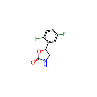 O=C1NCC(c2cc(F)ccc2F)O1